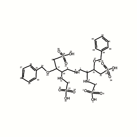 O=S(=O)(O)CNC(CNCC(NCS(=O)(=O)O)C(CS(=O)(=O)O)OCc1ccccc1)C(CS(=O)(=O)O)OCc1ccccc1